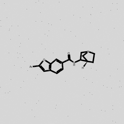 CC(=O)c1cc2ccc(C(=O)NC3CN4CC[C@H]3C4)cc2o1